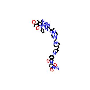 C=N/C(=C\C=C(/C)N1CCN(CCN2CCC(CC3CCN(c4ccc5c(c4)CN([C@H]4CCC(=O)NC4=O)C5=O)CC3)CC2)CC1)Nc1ncc2c(C)c(C(C)=O)c(=O)n(C3CCCC3)c2n1